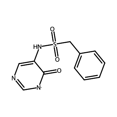 O=C1[N]C=NC=C1NS(=O)(=O)Cc1ccccc1